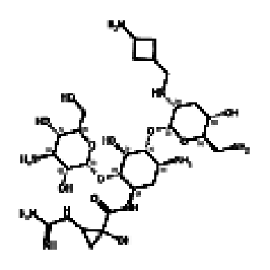 N=C(N)NC1CC1(O)C(=O)N[C@@H]1C[C@H](N)[C@@H](O[C@H]2O[C@H](CN)[C@@H](O)C[C@H]2NCC2CC(N)C2)[C@H](O)[C@H]1O[C@H]1O[C@H](CO)[C@@H](O)[C@H](N)[C@H]1O